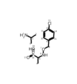 CC(C)N.CC(NOCc1ccc(Cl)cc1)[PH](=O)O